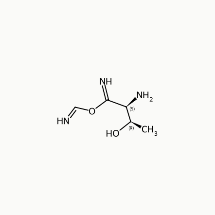 C[C@@H](O)[C@H](N)C(=N)OC=N